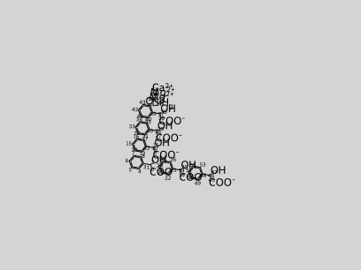 O=C([O-])C(O)c1ccccc1.O=C([O-])C(O)c1ccccc1.O=C([O-])C(O)c1ccccc1.O=C([O-])C(O)c1ccccc1.O=C([O-])C(O)c1ccccc1.O=C([O-])C(O)c1ccccc1.O=[SiH2].[Ca+2].[Mg+2].[Mg+2]